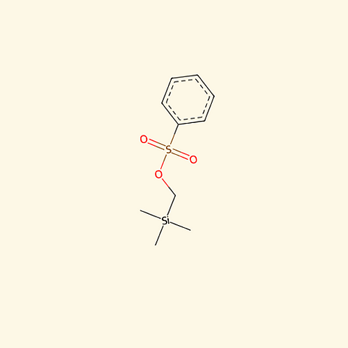 C[Si](C)(C)COS(=O)(=O)c1ccccc1